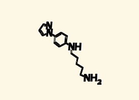 NCCCCCNc1ccc(-n2cccn2)cc1